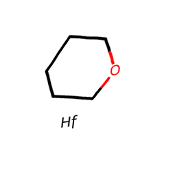 C1CCOCC1.[Hf]